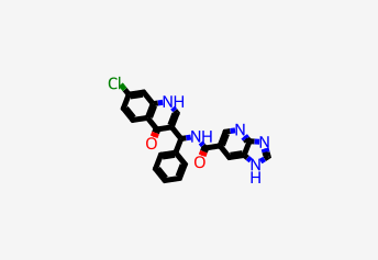 O=C(NC(c1ccccc1)c1c[nH]c2cc(Cl)ccc2c1=O)c1cnc2nc[nH]c2c1